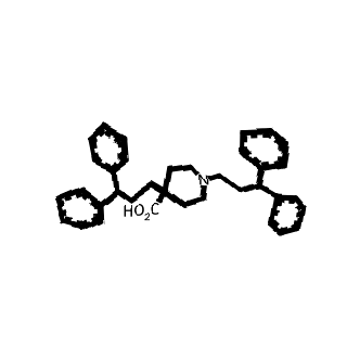 O=C(O)C1(CCC(c2ccccc2)c2ccccc2)CCN(CCC(c2ccccc2)c2ccccc2)CC1